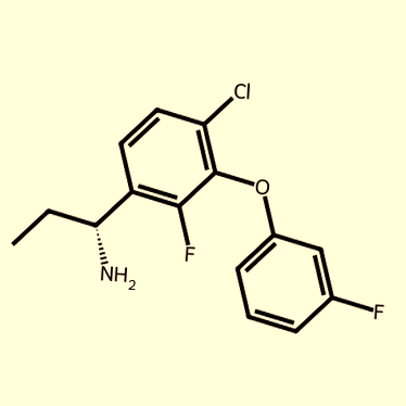 CC[C@@H](N)c1ccc(Cl)c(Oc2cccc(F)c2)c1F